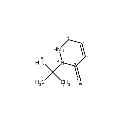 CC(C)(C)N1NCC=CC1=O